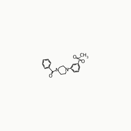 CS(=O)(=O)c1cccc(N2CCN(C(=O)c3ccccc3)CC2)c1